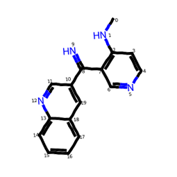 CNc1ccncc1C(=N)c1cnc2ccccc2c1